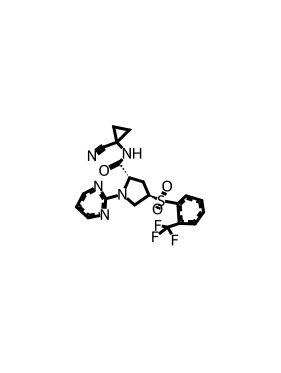 N#CC1(NC(=O)[C@@H]2C[C@@H](S(=O)(=O)c3ccccc3C(F)(F)F)CN2c2ncccn2)CC1